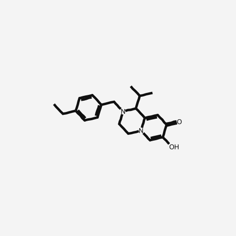 CCc1ccc(CN2CCn3cc(O)c(=O)cc3C2C(C)C)cc1